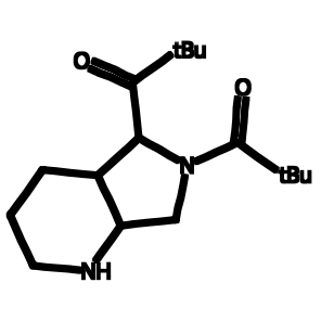 CC(C)(C)C(=O)C1C2CCCNC2CN1C(=O)C(C)(C)C